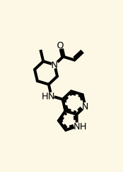 C=CC(=O)N1CC(Nc2ccnc3[nH]ccc23)CCC1C